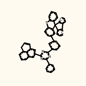 C1=Cc2cc(-c3nc(-c4ccccc4)nc(-c4cccc(-c5ccc6c(c5)C5(c7ccccc7S6)c6ccccc6-c6ccccc65)c4)n3)cc3cccc(c23)C1